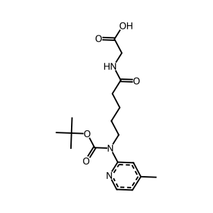 Cc1ccnc(N(CCCCC(=O)NCC(=O)O)C(=O)OC(C)(C)C)c1